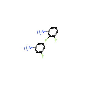 Nc1cccc(F)c1.Nc1cccc(F)c1F